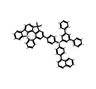 CC1(C)c2cc(-c3ccc(N(c4ccc(-c5cccc6ccccc56)cc4)c4cc(-c5ccccc5)cc(-c5ccccc5)c4)cc3)cc3c2-c2c1ccc1c4ccccc4n(c21)-c1ccccc1-3